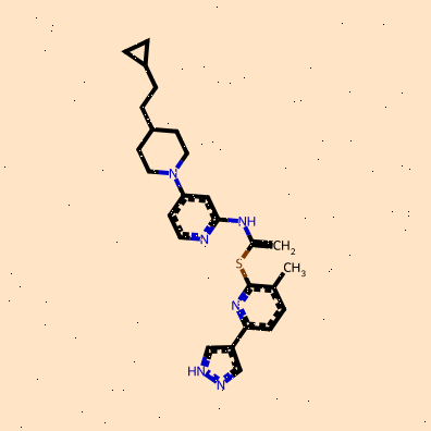 C=C(Nc1cc(N2CCC(CCC3CC3)CC2)ccn1)Sc1nc(-c2cn[nH]c2)ccc1C